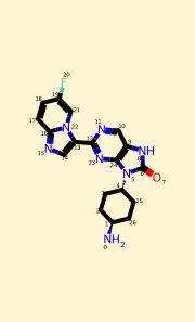 N[C@H]1CC[C@H](n2c(=O)[nH]c3cnc(-c4cnc5ccc(F)cn45)nc32)CC1